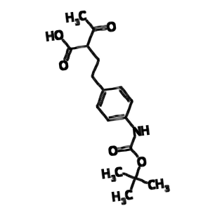 CC(=O)C(CCc1ccc(NC(=O)OC(C)(C)C)cc1)C(=O)O